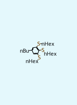 [CH2]CCCc1cc(SCCCCCC)c(SCCCCCC)c(SCCCCCC)c1